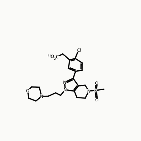 CS(=O)(=O)N1CCc2c(c(-c3ccc(Cl)c(CC(=O)O)c3)nn2CCCN2CCOCC2)C1